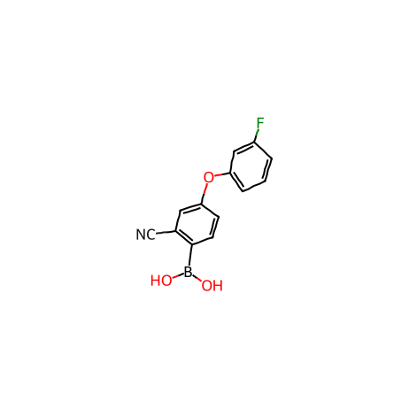 N#Cc1cc(Oc2cccc(F)c2)ccc1B(O)O